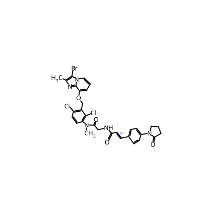 Cc1nc2c(OCc3c(Cl)ccc(N(C)C(=O)CNC(=O)/C=C/c4ccc(N5CCCC5=O)cc4)c3Cl)cccn2c1Br